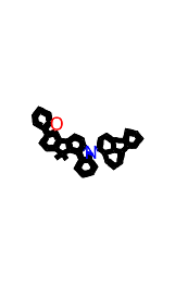 CC1(C)c2ccc3c(oc4ccccc43)c2-c2ccc3c(c21)c1ccccc1n3C1=CC=C2c3ccccc3C3=CC=CC1C32